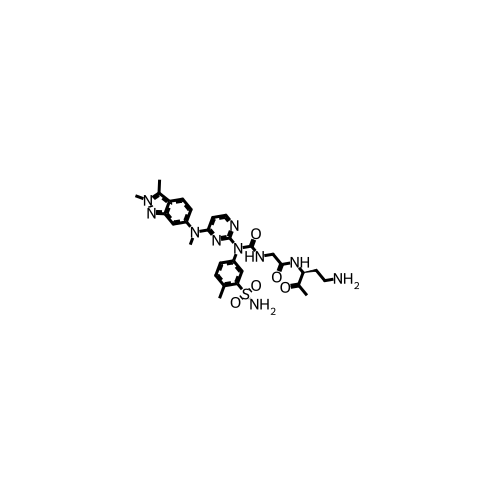 CC(=O)[C@H](CCN)NC(=O)CNC(=O)N(c1ccc(C)c(S(N)(=O)=O)c1)c1nccc(N(C)c2ccc3c(C)n(C)nc3c2)n1